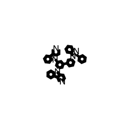 c1ccc(-c2nc3ccccc3n2-c2cccc(-c3cc(-n4c5ccccc5c5cnccc54)cc(-n4c5ccccc5c5cnccc54)c3)c2)cc1